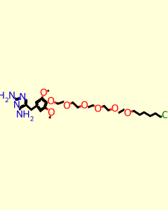 COc1cc(Cc2cnc(N)nc2N)cc(OC)c1OCCOCCOCCOCCOCCOCCCCCCCl